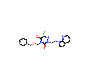 O=c1c(Br)nn(CCn2ccc3cccnc32)c(=O)n1COCc1ccccc1